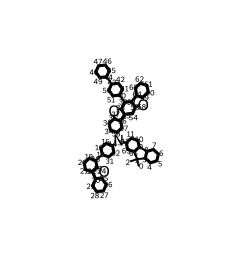 CC1(C)c2ccccc2-c2ccc(N(c3ccc(-c4cccc5c4oc4ccccc45)cc3)c3ccc4oc5c(-c6ccc(-c7ccccc7)cc6)c6c(cc5c4c3)oc3ccccc36)cc21